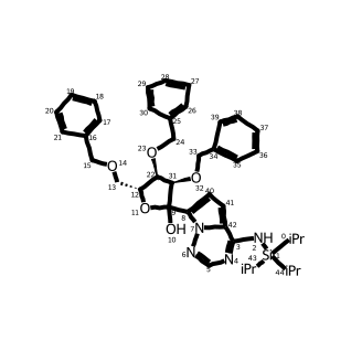 CC(C)[Si](Nc1ncnn2c(C3(O)O[C@H](COCc4ccccc4)[C@@H](OCc4ccccc4)[C@H]3OCc3ccccc3)ccc12)(C(C)C)C(C)C